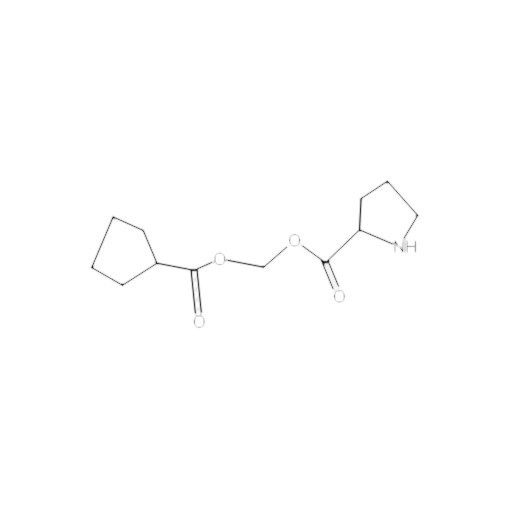 O=C(OCOC(=O)C1CCCN1)C1CCCC1